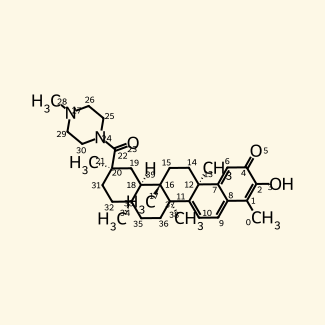 CC1=C(O)C(=O)C=C2C1=CC=C1[C@@]2(C)CC[C@@]2(C)[C@@H]3C[C@](C)(C(=O)N4CCN(C)CC4)CC[C@]3(C)CC[C@]12C